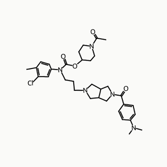 CC(=O)N1CCC(OC(=O)N(CCCN2CC3CN(C(=O)c4ccc(N(C)C)cc4)CC3C2)c2ccc(C)c(Cl)c2)CC1